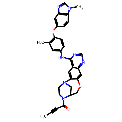 CC#CC(=O)N1CCN2CC1COc1cc3ncnc(Nc4ccc(Oc5ccc6c(c5)ncn6C)c(C)c4)c3cc12